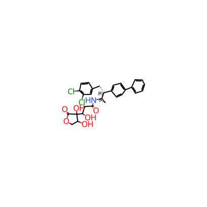 C[C@@H](NC(=O)CC(O)C1(O)C(=O)OCC1O)[C@H](Cc1ccc(Cl)c(Cl)c1)c1ccc(-c2ccccc2)cc1